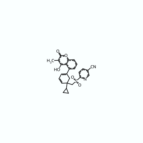 Cc1c(O)c2c(C3=CC=CC(CS(=O)(=O)c4ccc(C#N)cn4)(C4CC4)C3)cccc2oc1=O